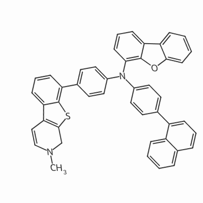 CN1C=Cc2c(sc3c(-c4ccc(N(c5ccc(-c6cccc7ccccc67)cc5)c5cccc6c5oc5ccccc56)cc4)cccc23)C1